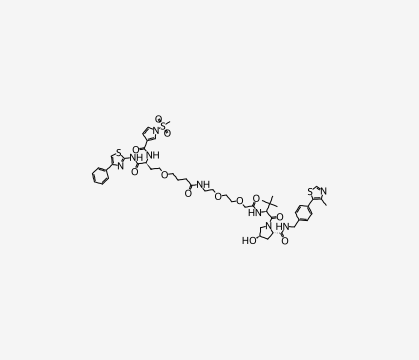 Cc1ncsc1-c1ccc(CNC(=O)[C@@H]2C[C@@H](O)CN2C(=O)[C@@H](NC(=O)COCCOCCNC(=O)CCCOCC[C@H](NC(=O)c2ccn(S(C)(=O)=O)c2)C(=O)Nc2nc(-c3ccccc3)cs2)C(C)(C)C)cc1